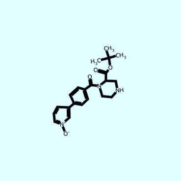 CC(C)(C)OC(=O)C1CNCCN1C(=O)c1ccc(-c2ccc[n+]([O-])c2)cc1